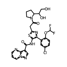 O=C(Nc1sc(CC(=O)N2CCCC2C(O)CO)nc1-c1cc(Cl)ccc1OC(F)F)c1cnn2cccnc12